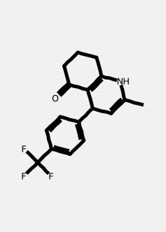 CC1=CC(c2ccc(C(F)(F)F)cc2)C2=C(CCCC2=O)N1